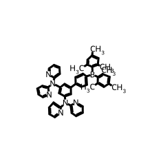 Cc1cc(C)c(B(c2ccc(-c3cc(N(c4ccccn4)c4ccccn4)cc(N(c4ccccn4)c4ccccn4)c3)cc2)c2c(C)cc(C)cc2C)c(C)c1